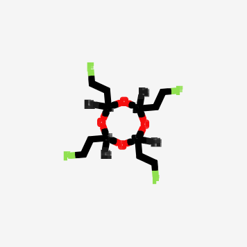 CC[Si]1(CCF)O[Si](CC)(CCF)O[Si](CC)(CCF)O[Si](CC)(CCF)O1